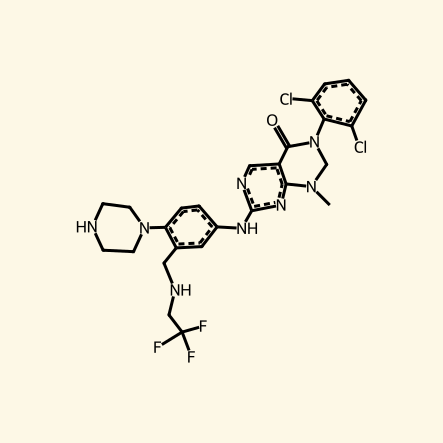 CN1CN(c2c(Cl)cccc2Cl)C(=O)c2cnc(Nc3ccc(N4CCNCC4)c(CNCC(F)(F)F)c3)nc21